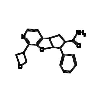 NC(=O)C1CC2c3ccnc(C4COC4)c3OC2C1c1ccccc1